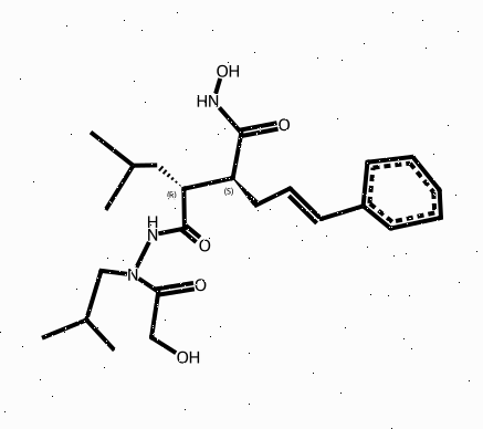 CC(C)C[C@@H](C(=O)NN(CC(C)C)C(=O)CO)[C@H](CC=Cc1ccccc1)C(=O)NO